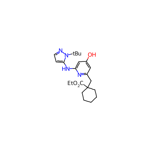 CCOC(=O)C1(Cc2cc(O)cc(Nc3ccnn3C(C)(C)C)n2)CCCCC1